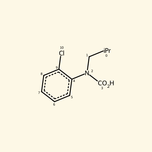 CC(C)CN(C(=O)O)c1ccccc1Cl